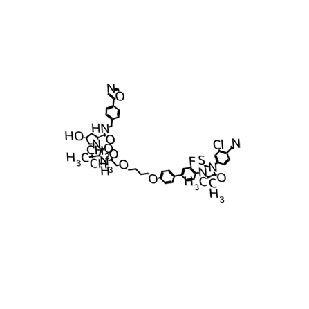 CC(C)(C)C(NC(=O)COCCCCOc1ccc(-c2ccc(N3C(=S)N(c4ccc(C#N)c(Cl)c4)C(=O)C3(C)C)c(F)c2)cc1)C(=O)N1C[C@H](O)C[C@H]1C(=O)NCc1ccc(-c2cnco2)cc1